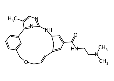 Cc1cnc2nc1-c1cccc(c1)COC/C=C/C1=CC(C(=O)NCCN(C)C)=CC(C1)N2